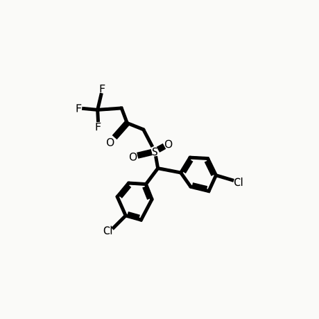 O=C(CC(F)(F)F)CS(=O)(=O)C(c1ccc(Cl)cc1)c1ccc(Cl)cc1